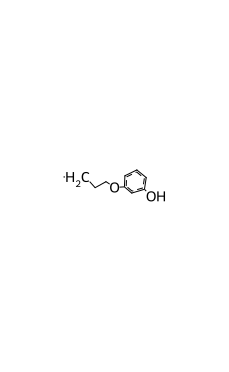 [CH2]CCOc1cccc(O)c1